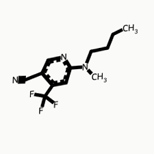 CCCCN(C)c1cc(C(F)(F)F)c(C#N)cn1